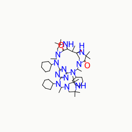 CC(N1CC(C)(C)NC(C)(C)C1)N(c1nc2nc(n1)N(C1CCCCC1)C(C)N1CC(C)(C)NC(C)(C1=O)C(C)C1(C)CN(C(=O)C(C)(C)N1)C(C)N2C1CCCCC1)C1CCCCC1